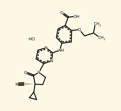 CC(C)COc1cc(Nc2nccc(N3CC[C@@](C#N)(C4CC4)C3=O)n2)ccc1C(=O)O.Cl